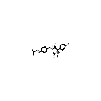 CC(C)COc1ccc(CNC(=O)C(NC(=O)O)c2ccc(F)cc2)cc1